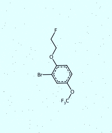 FCCOc1ccc(OC(F)(F)F)cc1Br